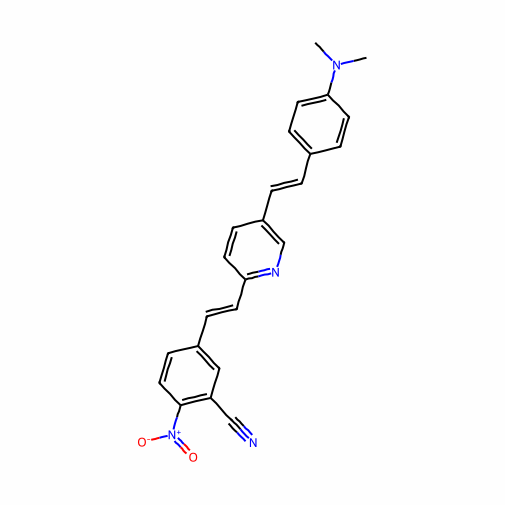 CN(C)c1ccc(C=Cc2ccc(C=Cc3ccc([N+](=O)[O-])c(C#N)c3)nc2)cc1